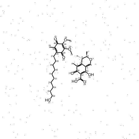 CC1=C2C(=CO[C@H](C)[C@H]2C)C(O)=C(C(=O)O)C1=O.COC1=C(OC)C(=O)C(CCCCCCCCCCO)=C(C)C1=O